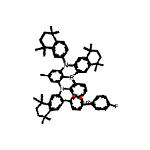 Cc1cc2c3c(c1)N(c1cc4c(cc1-c1ccc(-c5ccc(F)cc5)cc1)C(C)(C)CCC4(C)C)c1cc(C(C)(C)C)ccc1B3c1cc3c(cc1N2c1ccc2c(c1)C(C)(C)CCC2(C)C)C(C)(C)CCC3(C)C